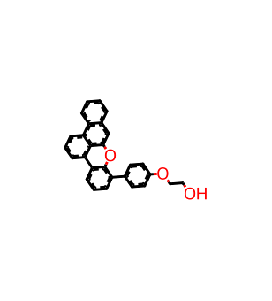 OCCOc1ccc(-c2cccc3c2Oc2cc4ccccc4c4cccc-3c24)cc1